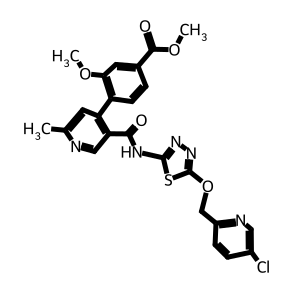 COC(=O)c1ccc(-c2cc(C)ncc2C(=O)Nc2nnc(OCc3ccc(Cl)cn3)s2)c(OC)c1